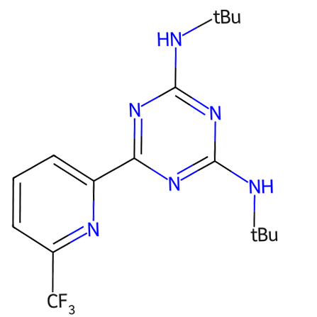 CC(C)(C)Nc1nc(NC(C)(C)C)nc(-c2cccc(C(F)(F)F)n2)n1